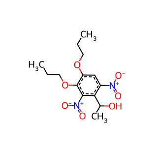 CCCOc1cc([N+](=O)[O-])c(C(C)O)c([N+](=O)[O-])c1OCCC